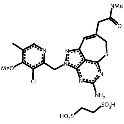 CNC(=O)CC1=Cc2nn(Cc3ncc(C)c(OC)c3Cl)c3nc(N)nc(c23)SC1.O=S(=O)(O)CCS(=O)(=O)O